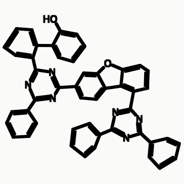 Oc1ccccc1-c1ccccc1-c1nc(-c2ccccc2)nc(-c2ccc3c(c2)oc2cccc(-c4nc(-c5ccccc5)nc(-c5ccccc5)n4)c23)n1